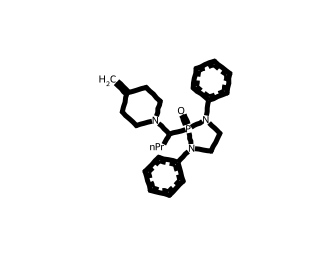 C=C1CCN(C(CCC)P2(=O)N(c3ccccc3)CCN2c2ccccc2)CC1